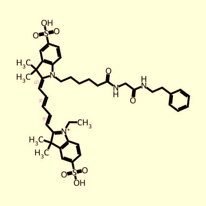 CC[N+]1=C(/C=C/C=C/C=C2\N(CCCCCC(=O)NCC(=O)NCCc3ccccc3)c3ccc(S(=O)(=O)O)cc3C2(C)C)C(C)(C)c2cc(S(=O)(=O)O)ccc21